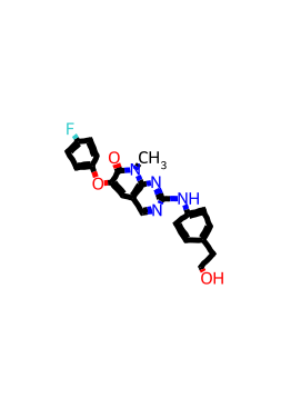 Cn1c(=O)c(Oc2ccc(F)cc2)cc2cnc(Nc3ccc(CCO)cc3)nc21